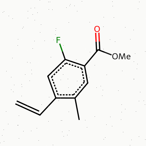 C=Cc1cc(F)c(C(=O)OC)cc1C